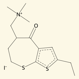 CCc1cc2c(s1)SCCC(C[N+](C)(C)C)C2=O.[I-]